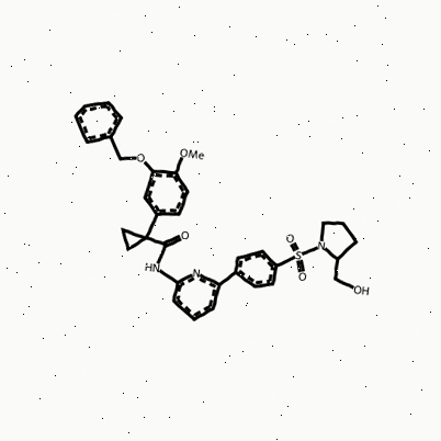 COc1ccc(C2(C(=O)Nc3cccc(-c4ccc(S(=O)(=O)N5CCCC5CO)cc4)n3)CC2)cc1OCc1ccccc1